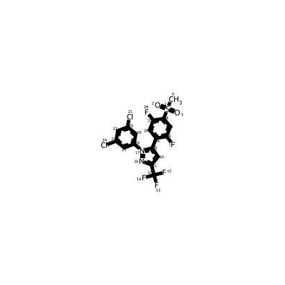 CS(=O)(=O)c1cc(F)c(-c2cc(C(F)(F)F)nn2-c2cc(Cl)cc(Cl)c2)cc1F